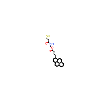 O=C(CCS)NCOC(=O)CCCc1ccc2ccc3cccc4ccc1c2c34